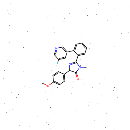 COc1ccc(C2N=C(c3ccccc3-c3cncc(F)c3)N(C)C2=O)cc1